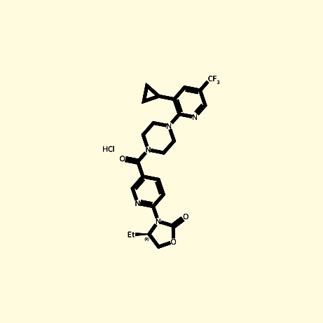 CC[C@@H]1COC(=O)N1c1ccc(C(=O)N2CCN(c3ncc(C(F)(F)F)cc3C3CC3)CC2)cn1.Cl